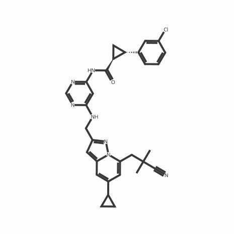 CC(C)(C#N)Cc1cc(C2CC2)cc2cc(CNc3cc(NC(=O)[C@H]4C[C@@H]4c4cccc(Cl)c4)ncn3)nn12